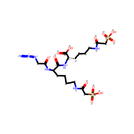 [N-]=[N+]=NCC(=O)NC(CCCCNC(=O)CS(=O)(=O)O)C(=O)N[C@@H](CCCCNC(=O)CS(=O)(=O)O)C(=O)O